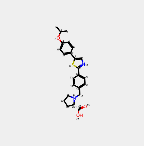 CC(C)Oc1ccc(-c2cnc(-c3ccc(CN4CCC[C@H]4C(=O)O)cc3)s2)cc1